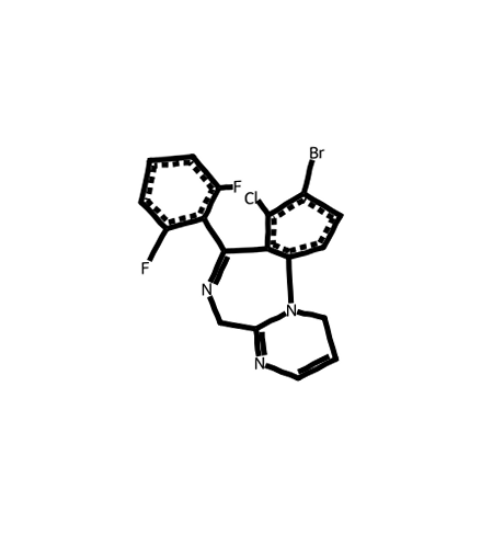 Fc1cccc(F)c1C1=NCC2=NC=CCN2c2ccc(Br)c(Cl)c21